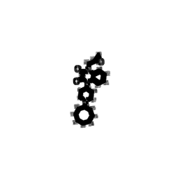 O=c1c(=O)n(C2CCN(C3CCCCCCC3)CC2)c2ccccc2n1CC1CO1